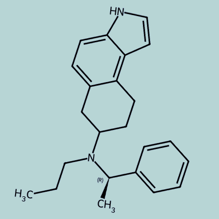 CCCN(C1CCc2c(ccc3[nH]ccc23)C1)[C@H](C)c1ccccc1